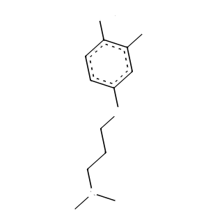 CN(C)CCCOc1ccc(C=O)c(F)c1